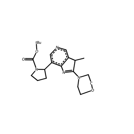 CC1C(N2CCOCC2)=Nc2c1cncc2C1CCCN1C(=O)OC(C)(C)C